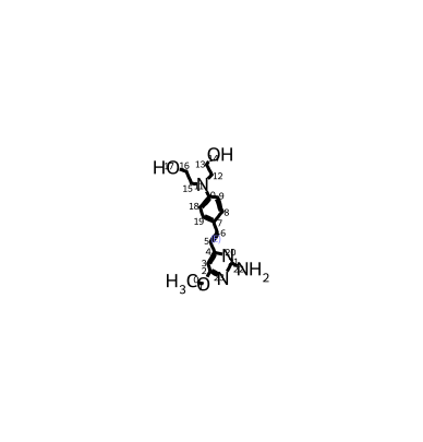 COc1cc(/C=C/c2ccc(N(CCO)CCO)cc2)nc(N)n1